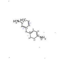 C/C=C\C(=C/CN)CC1=CC=C(N)CC1